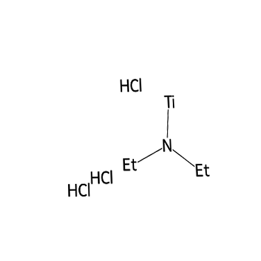 CC[N]([Ti])CC.Cl.Cl.Cl